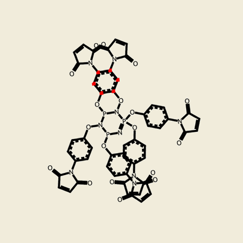 O=C1C=CC(=O)N1c1ccc(ON2P(Oc3ccc(N4C(=O)C=CC4=O)cc3)N=P(Oc3ccc(N4C(=O)C=CC4=O)cc3)(Oc3ccc(N4C(=O)C=CC4=O)cc3)N(Oc3ccc(N4C(=O)C=CC4=O)cc3)P2Oc2ccc(N3C(=O)C=CC3=O)cc2)cc1